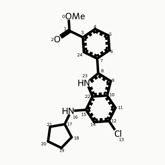 COC(=O)c1cccc(-c2cc3cc(Cl)cc(NC4CCCC4)c3[nH]2)c1